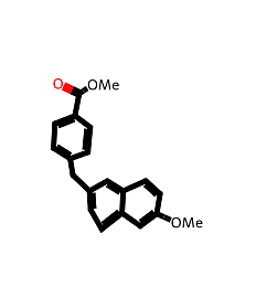 COC(=O)c1ccc(Cc2ccc3cc(OC)ccc3c2)cc1